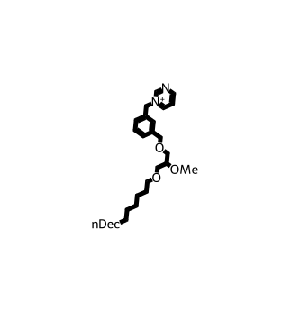 CCCCCCCCCCCCCCCCOCC(COCc1cccc(C[n+]2cccnc2)c1)OC